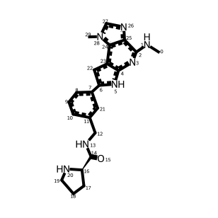 CNc1nc2[nH]c(-c3cccc(CNC(=O)[C@H]4CCCN4)c3)cc2c2c1ncn2C